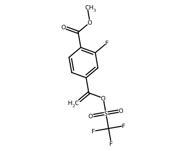 C=C(OS(=O)(=O)C(F)(F)F)c1ccc(C(=O)OC)c(F)c1